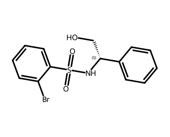 O=S(=O)(N[C@H](CO)c1ccccc1)c1ccccc1Br